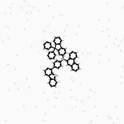 c1ccc(C2(c3ccccc3)c3ccccc3-c3ccc(N(c4ccc(-c5cccc6c5oc5ccccc56)cc4)c4cc5ccccc5c5ccccc45)cc32)cc1